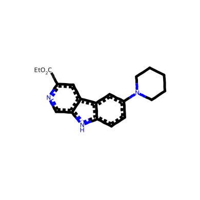 CCOC(=O)c1cc2c(cn1)[nH]c1ccc(N3CCCCC3)cc12